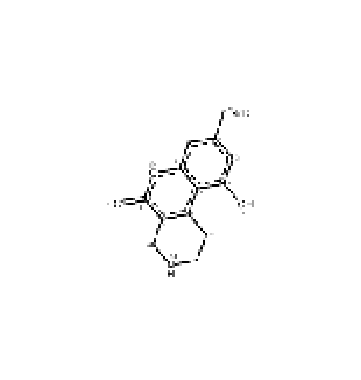 CCCCCc1cc(O)c2c3c(c(=O)oc2c1)CNCC3